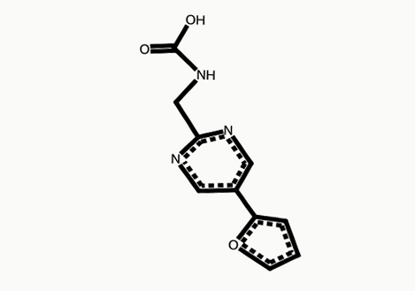 O=C(O)NCc1ncc(-c2ccco2)cn1